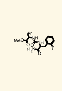 COC(=O)C(NC(=O)N[C@@H](Cc1ccccc1F)C(N)=O)C(C)C